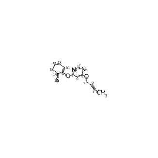 CC#CCOc1cc(OC2=CC=CCC2=S)ncn1